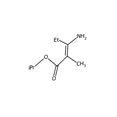 CCC(N)=C(C)C(=O)OC(C)C